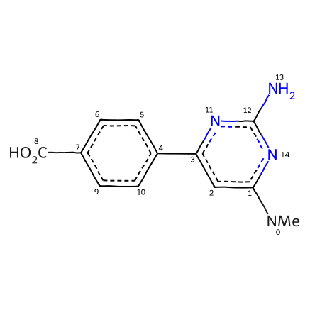 CNc1cc(-c2ccc(C(=O)O)cc2)nc(N)n1